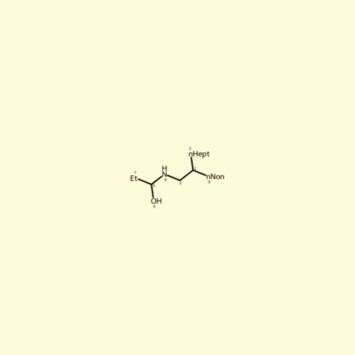 CCCCCCCCCC(CCCCCCC)CNC(O)CC